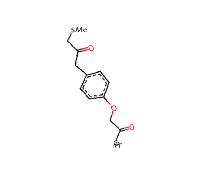 CSCC(=O)Cc1ccc(OCC(=O)C(C)C)cc1